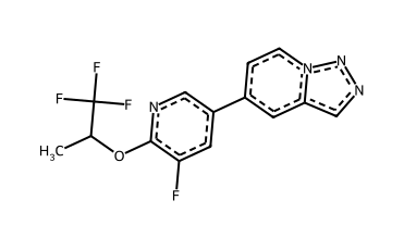 CC(Oc1ncc(-c2ccn3nncc3c2)cc1F)C(F)(F)F